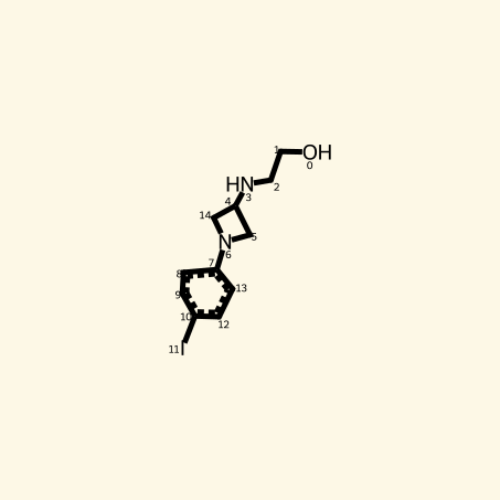 OCCNC1CN(c2ccc(I)cc2)C1